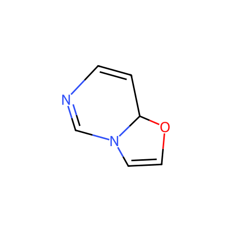 C1=CC2OC=CN2C=N1